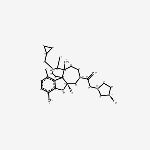 Cc1ccc(O)c2c1C13CCN(CC4CC4)C(C)C1(O)CCN(C(=O)CN1CC[C@@H](F)C1)C[C@@H]3O2